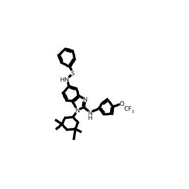 CC1(C)CC(n2c(Nc3ccc(OC(F)(F)F)cc3)nc3cc(NSc4ccccc4)ccc32)CC(C)(C)C1